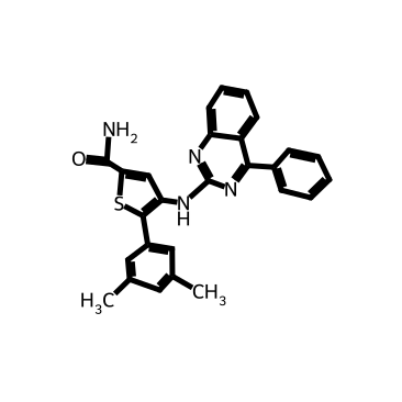 Cc1cc(C)cc(-c2sc(C(N)=O)cc2Nc2nc(-c3ccccc3)c3ccccc3n2)c1